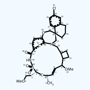 COCC[C@H]1C[C@@H](C)/C=C/C(OC)C2CCC2CN2C[C@@]3(CCCc4cc(Cl)ccc43)COc3ccc(cc32)C(=O)NS1(=O)=O